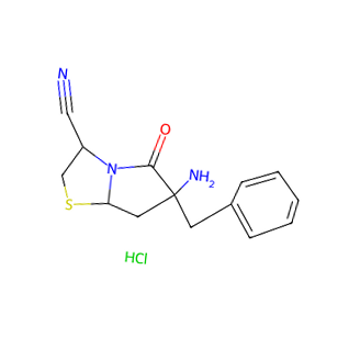 Cl.N#CC1CSC2CC(N)(Cc3ccccc3)C(=O)N12